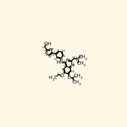 CCOc1cc2c(Nc3cccc(-c4csc(CO)n4)c3)nc(CN(C)C)nc2cc1OC(C)C